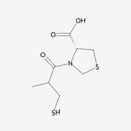 CC(CS)C(=O)N1CSC[C@H]1C(=O)O